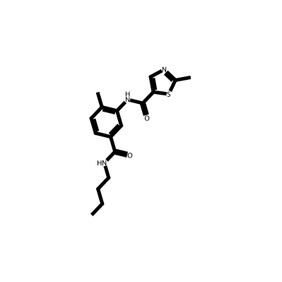 CCCCNC(=O)c1ccc(C)c(NC(=O)c2cnc(C)s2)c1